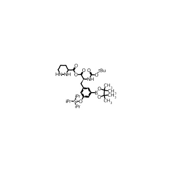 CC(C)[Si](Oc1cc(C[C@H](NC(=O)OC(C)(C)C)C(=O)OC(=O)C2CCCNN2)cc(B2OC(C)(C)C(C)(C)O2)c1)(C(C)C)C(C)C